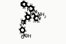 Cc1cc(C2CN(C[C@H]3CC[C@H](C(=O)O)CC3)C2)ccc1-n1c(-c2cccnc2N)nc2ccc(-c3ccccc3)nc21